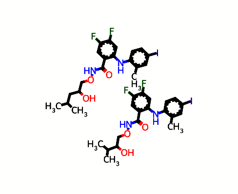 Cc1cc(I)ccc1Nc1cc(F)c(F)cc1C(=O)NOCC(O)C(C)C.Cc1cc(I)ccc1Nc1cc(F)c(F)cc1C(=O)NOCC(O)CC(C)C